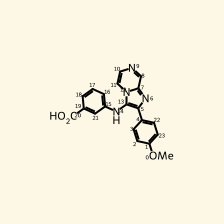 COc1ccc(-c2nc3cnccn3c2Nc2cccc(C(=O)O)c2)cc1